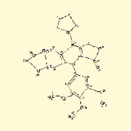 COc1cc(C2C3=C(COC3=O)N(C3CCCC3)c3cc4c(cc32)OCO4)cc(OC)c1OC